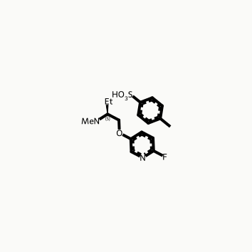 CC[C@@H](COc1ccc(F)nc1)NC.Cc1ccc(S(=O)(=O)O)cc1